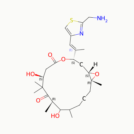 C/C(=C\c1csc(CN)n1)[C@@H]1C[C@@H]2O[C@]2(C)CCCC(C)C(O)[C@@H](C)C(=O)C(C)(C)[C@@H](O)CC(=O)O1